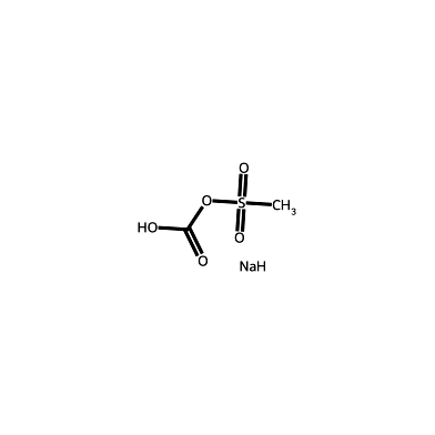 CS(=O)(=O)OC(=O)O.[NaH]